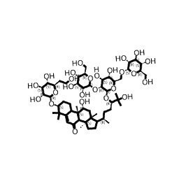 C[C@H](CC[C@@H](O[C@@H]1O[C@H](CO[C@H]2O[C@H](CO)[C@@H](O)[C@H](O)[C@H]2O)[C@@H](O)[C@H](O)[C@H]1O[C@@H]1O[C@H](CO)[C@@H](O)[C@H](O)[C@H]1O)C(C)(C)O)C1CC[C@@]2(C)C3C(=O)C=C4C(CC[C@H](O[C@@H]5O[C@H](CCO)[C@@H](O)[C@H](O)[C@H]5O)C4(C)C)[C@]3(C)[C@H](O)C[C@]12C